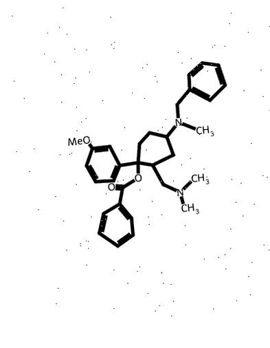 COc1cccc(C2(OC(=O)c3ccccc3)CCC(N(C)Cc3ccccc3)CC2CN(C)C)c1